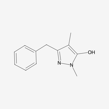 Cc1c(Cc2ccccc2)nn(C)c1O